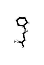 CC(O)CCNC1CCCCC1